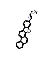 CCC/C=C/c1ccc2c(c1)oc1c2ccc2c3ccccc3ccc21